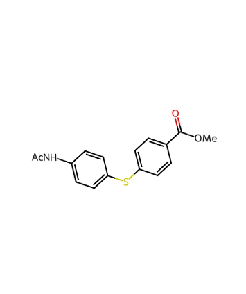 COC(=O)c1ccc(Sc2ccc(NC(C)=O)cc2)cc1